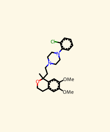 COc1cc2c(cc1OC)C(C)(CCN1CCN(c3ccccc3Cl)CC1)OCC2